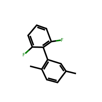 Cc1ccc(C)c(-c2c(F)cccc2F)c1